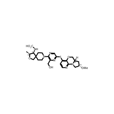 CO[C@H]1C[C@H]2COc3c(Sc4cnc(N5CCC6(CC5)CO[C@@H](C)[C@H]6NC(=O)O)c(CO)n4)ccnc3N2C1